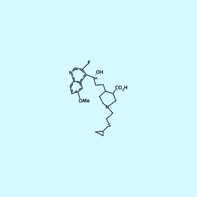 COc1ccc2ncc(F)c([C@H](O)CCC3CCN(CCSC4CC4)CC3C(=O)O)c2c1